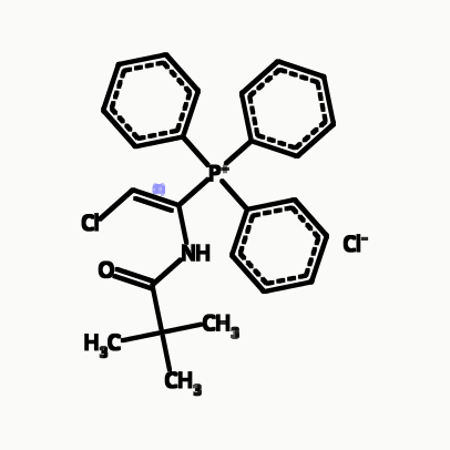 CC(C)(C)C(=O)N/C(=C\Cl)[P+](c1ccccc1)(c1ccccc1)c1ccccc1.[Cl-]